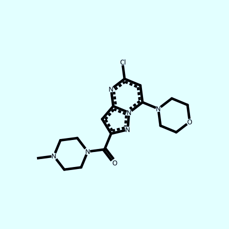 CN1CCN(C(=O)c2cc3nc(Cl)cc(N4CCOCC4)n3n2)CC1